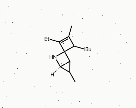 CCC1=C(C)C(C(C)CC)C12N[C@@H]1C(C)C12